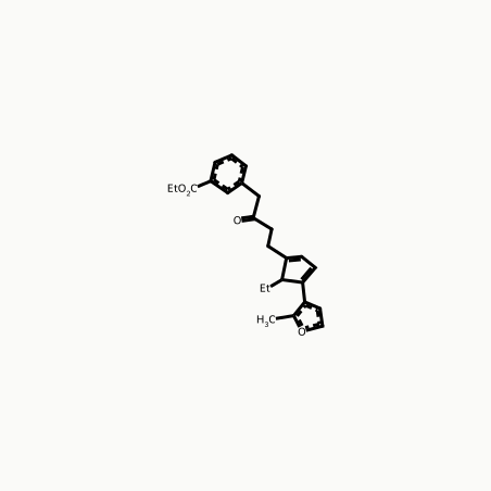 CCOC(=O)c1cccc(CC(=O)CCC2=CC=C(c3ccoc3C)C2CC)c1